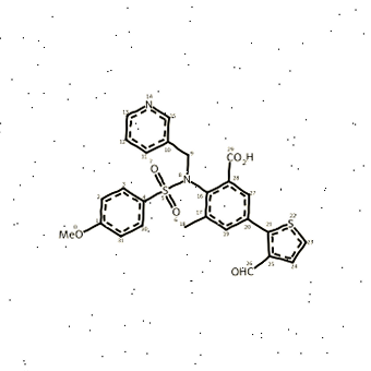 COc1ccc(S(=O)(=O)N(Cc2cccnc2)c2c(C)cc(-c3sccc3C=O)cc2C(=O)O)cc1